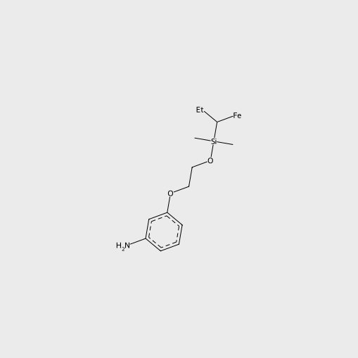 CC[CH]([Fe])[Si](C)(C)OCCOc1cccc(N)c1